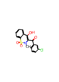 CN1C(C(=O)c2cccc(Cl)c2)=C(O)c2ccccc2S1(=O)=O